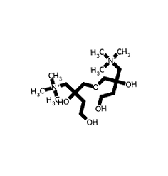 C[N+](C)(C)CC(O)(CCO)COCC(O)(CCO)C[N+](C)(C)C